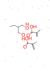 C=C(C)C(=O)O.C=C(C)C(=O)O.CCC(CO)CO